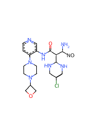 NC(N=O)C(C(=O)Nc1cnccc1N1CCN(C2COC2)CC1)C1NCC(Cl)CN1